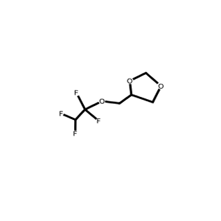 FC(F)C(F)(F)OCC1COCO1